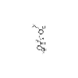 Cn1ncc2c(NC(=O)NCc3ccc(Cl)c(CCC(C)(C)C)c3)cccc21